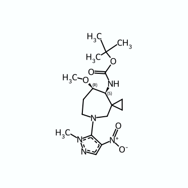 CO[C@@H]1CCN(c2c([N+](=O)[O-])cnn2C)CC2(CC2)[C@@H]1NC(=O)OC(C)(C)C